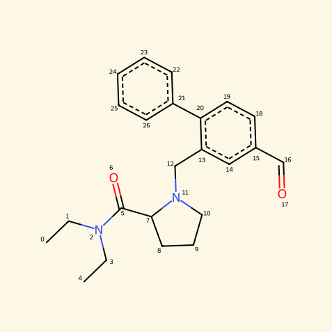 CCN(CC)C(=O)C1CCCN1Cc1cc(C=O)ccc1-c1ccccc1